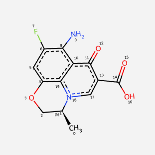 C[C@H]1COc2[c]c(F)c(N)c3c(=O)c(C(=O)O)cn1c23